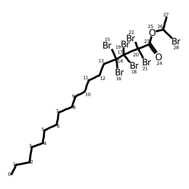 CCCCCCCCCCCCCCC(Br)(Br)C(Br)(Br)C(Br)(Br)C(=O)OC(C)Br